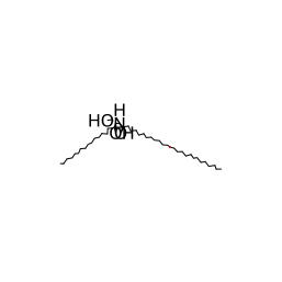 CCCCCCCCCCCCCCCCCCCCCCCCCC(=O)N[C@@H](CO)C(O)CCCCCCCCCCCCCCC